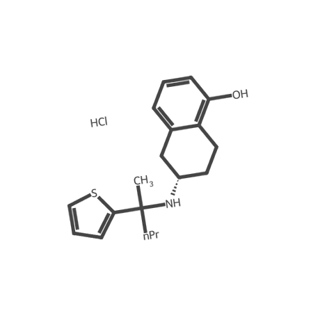 CCCC(C)(N[C@H]1CCc2c(O)cccc2C1)c1cccs1.Cl